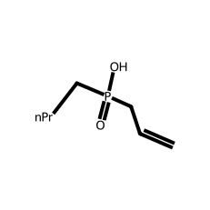 C=CCP(=O)(O)CCCC